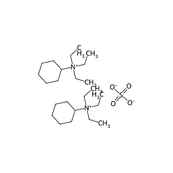 CC[N+](CC)(CC)C1CCCCC1.CC[N+](CC)(CC)C1CCCCC1.O=S(=O)([O-])[O-]